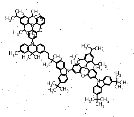 Cc1ccc2c(c1)C(C)(C)c1cc(CCC(C)(C)c3ccc4c(c3)c3cc(C(C)(C)C)ccc3n4-c3ccc4c(c3)Oc3cc(-n5c6ccc(C(C)(C)C)cc6c6cc(C(C)(C)C)ccc65)ccc3B4c3c(C(C)C)cc(C(C)C)cc3C(C)C)ccc1N2c1ccc2c(c1)Oc1ccccc1B2c1c(C(C)C)cc(C(C)C)cc1C(C)C